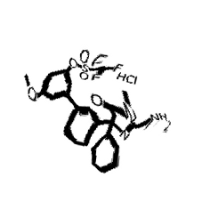 COc1cc(OS(=O)(=O)C(F)(F)F)cc(-c2cccc(C3(c4ccccc4)N=C(N)N(C)C3=O)c2)c1.Cl